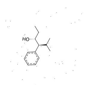 CC[C@@H](O)[C@H](c1ccccc1)C(C)C